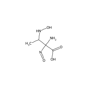 CC(NO)C(N)(N=O)C(=O)O